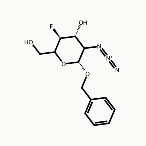 [N-]=[N+]=NC1[C@H](OCc2ccccc2)OC(CO)[C@@H](F)[C@@H]1O